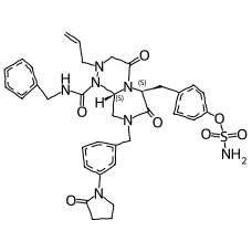 C=CCN1CC(=O)N2[C@@H](Cc3ccc(OS(N)(=O)=O)cc3)C(=O)N(Cc3cccc(N4CCCC4=O)c3)C[C@@H]2N1C(=O)NCc1ccccc1